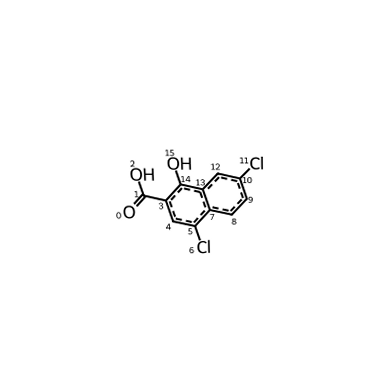 O=C(O)c1cc(Cl)c2ccc(Cl)cc2c1O